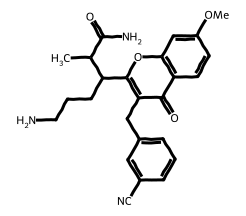 COc1ccc2c(=O)c(Cc3cccc(C#N)c3)c(C(CCCN)C(C)C(N)=O)oc2c1